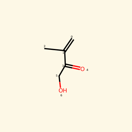 C=C(C)C(=O)CO